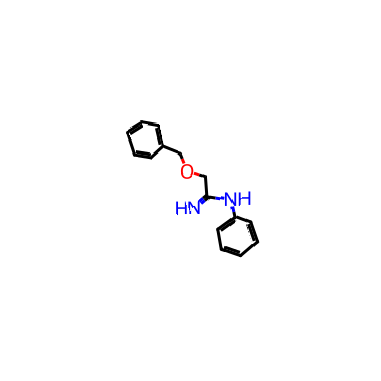 N=C(COCc1ccccc1)Nc1ccccc1